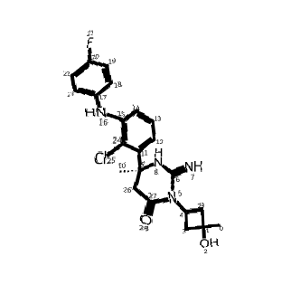 CC1(O)CC(N2C(=N)N[C@](C)(c3cccc(Nc4ccc(F)cc4)c3Cl)CC2=O)C1